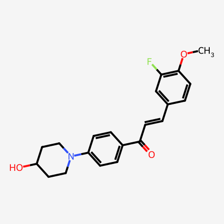 COc1ccc(C=CC(=O)c2ccc(N3CCC(O)CC3)cc2)cc1F